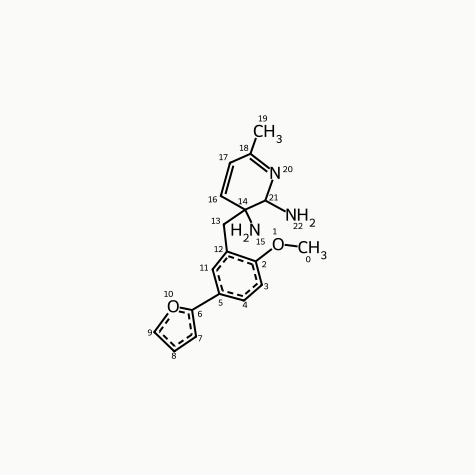 COc1ccc(-c2ccco2)cc1CC1(N)C=CC(C)=NC1N